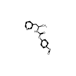 CC(Cc1cccnc1)NC(=O)Oc1ccc(N=O)cc1